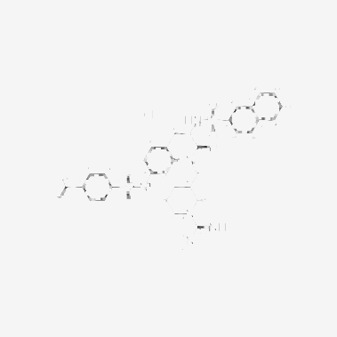 Cl.N=C(N)N1CCCC(CNC(=O)[C@@H](Cc2ccc(NS(=O)(=O)c3ccc(C(=O)O)cc3)cc2)NS(=O)(=O)c2ccc3ccccc3c2)C1